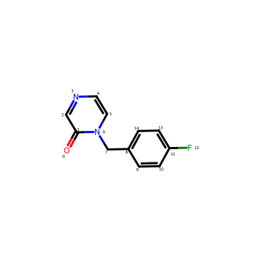 O=c1cnccn1Cc1ccc(F)cc1